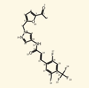 CC(=O)c1ccc(Cn2cc(NC(=O)C=Cc3cc(F)c(C(F)(F)F)cc3F)cn2)o1